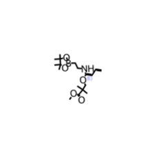 C=C/C=C(\NCCB1OC(C)(C)C(C)(C)O1)OCC(C)(C)C(=O)OC